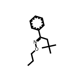 CCCO/N=C(\CC(C)(C)C)c1ccccc1